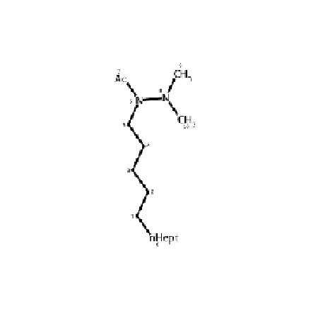 CCCCCCCCCCCCN(C(C)=O)N(C)C